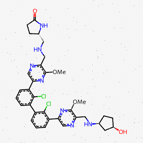 COc1nc(-c2cccc(-c3cccc(-c4cnc(CN[C@H]5CC[C@@H](O)C5)c(OC)n4)c3Cl)c2Cl)cnc1CNC[C@@H]1CCC(=O)N1